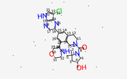 CC1(C)CC(O)CN1C(=O)N1CCc2cc(-c3cnc4[nH]cc(Cl)c4n3)cc([C@@H]3COCCN3)c2C1